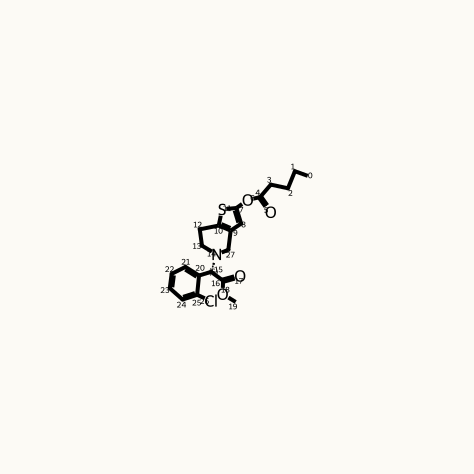 CCCCC(=O)Oc1cc2c(s1)CCN([C@H](C(=O)OC)c1ccccc1Cl)C2